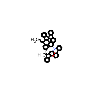 C=C/C=C(\C1=C(c2ccc(N(c3ccc4c(c3)C(C)(C)c3ccccc3-4)c3ccccc3-c3ccccc3)cc2)C2(c3ccccc31)c1ccccc1-c1ccccc12)c1ccccc1